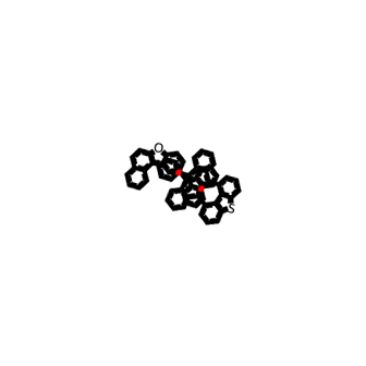 c1ccc(-c2c3ccccc3c(-c3cccc4sc5cccc(-c6c7ccccc7c(-c7ccc8oc9ccc%10ccccc%10c9c8c7)c7ccccc67)c5c34)c3ccccc23)cc1